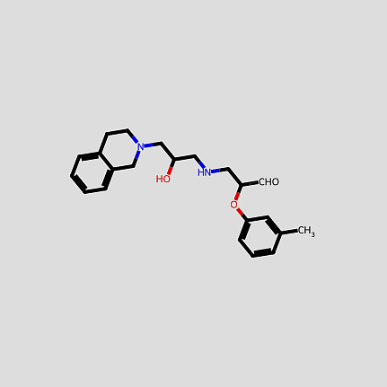 Cc1cccc(OC(C=O)CNCC(O)CN2CCc3ccccc3C2)c1